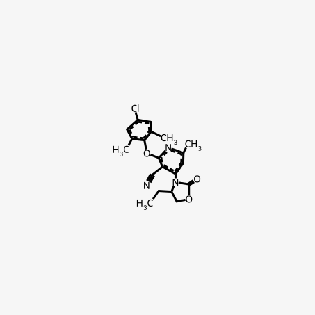 CCC1COC(=O)N1c1cc(C)nc(Oc2c(C)cc(Cl)cc2C)c1C#N